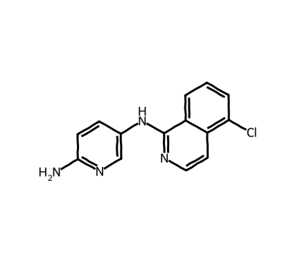 Nc1ccc(Nc2nccc3c(Cl)cccc23)cn1